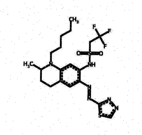 CCCCCN1c2cc(NS(=O)(=O)CC(F)(F)F)c(N=Nc3nncs3)cc2CCC1C